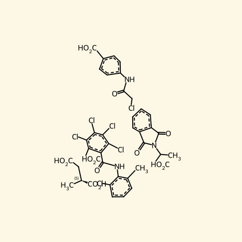 CC(C(=O)O)N1C(=O)c2ccccc2C1=O.C[C@@H](CC(=O)O)C(=O)O.Cc1cccc(Cl)c1NC(=O)c1c(Cl)c(Cl)c(Cl)c(Cl)c1C(=O)O.O=C(CCl)Nc1ccc(C(=O)O)cc1